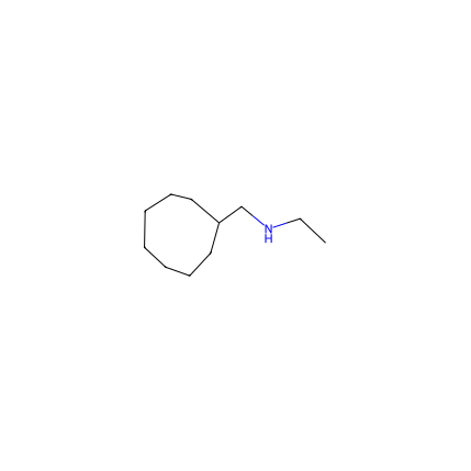 CCNCC1CCCCCCC1